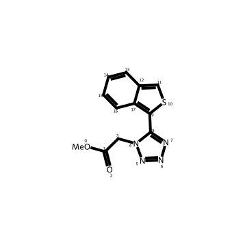 COC(=O)Cn1nnnc1-c1scc2ccccc12